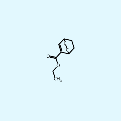 CCOC(=O)C1=CC2CCC1CC2